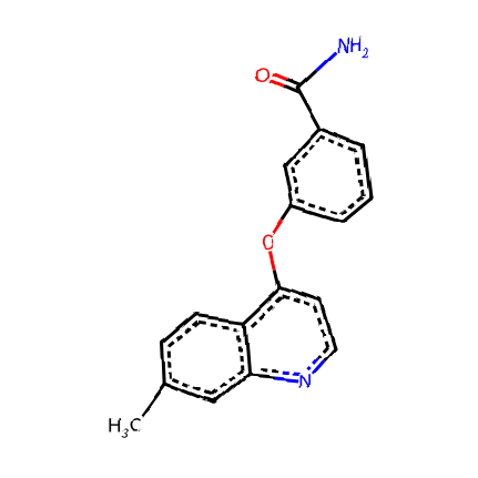 Cc1ccc2c(Oc3cccc(C(N)=O)c3)ccnc2c1